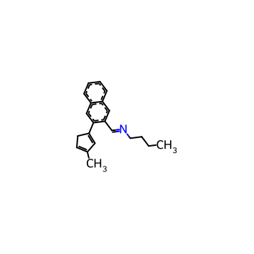 CCCCN=Cc1cc2ccccc2cc1C1=CC(C)=CC1